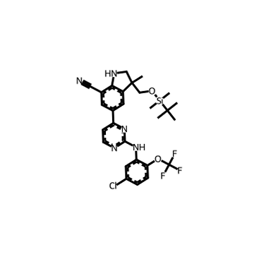 CC1(CO[Si](C)(C)C(C)(C)C)CNc2c(C#N)cc(-c3ccnc(Nc4cc(Cl)ccc4OC(F)(F)F)n3)cc21